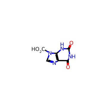 O=C(O)n1cnc2c(=O)[nH]c(=O)[nH]c21